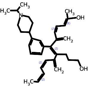 C=C(/C=C\C=C/C)/C(CCCO)=C(/C(=C)/C=C\C=C(/C)O)c1cccc(C2CCN(C(C)C)CC2)c1